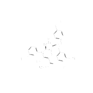 COC(=O)C1=C(C)N(c2cccc(C(F)(F)F)c2)c2n[nH]c(=O)n2[C@@H]1c1ccc(C#N)cc1CC[n+]1ccc(CO)cc1.[Br-]